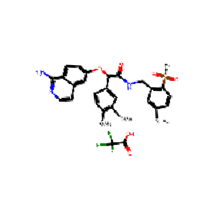 CCS(=O)(=O)c1ccc(NC(C)=O)cc1CNC(=O)C(Oc1ccc2c(N)nccc2c1)c1ccc(OC)c(OC)c1.O=C(O)C(F)(F)F